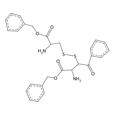 NC(CSSC(C(=O)c1ccccc1)C(N)C(=O)OCc1ccccc1)C(=O)OCc1ccccc1